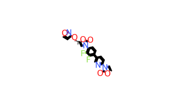 O=C1OCCN1c1ccc(-c2ccc(N3C[C@H](COc4ccon4)OC3=O)c(F)c2F)cn1